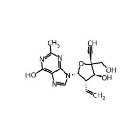 C#C[C@]1(CO)O[C@@H](n2cnc3c(O)nc(C)nc32)[C@@H](C=C)[C@@H]1O